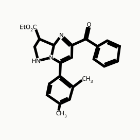 CCOC(=O)C1CNN2C(c3ccc(C)cc3C)=CC(C(=O)c3ccccc3)=NC12